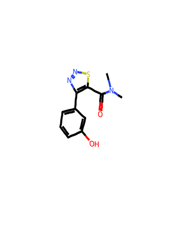 CN(C)C(=O)c1snnc1-c1cccc(O)c1